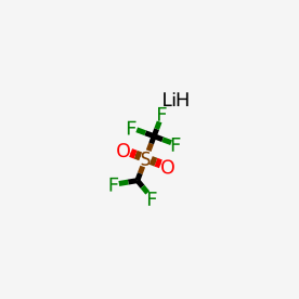 O=S(=O)([C](F)F)C(F)(F)F.[LiH]